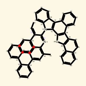 C/C=C(\C(=N/c1cc2c3ccccc3c3ccccc3c2cc1C)n1c2ccccc2c2c3ccccc3c3c4ccc5ccccc5c4oc3c21)c1ccccc1